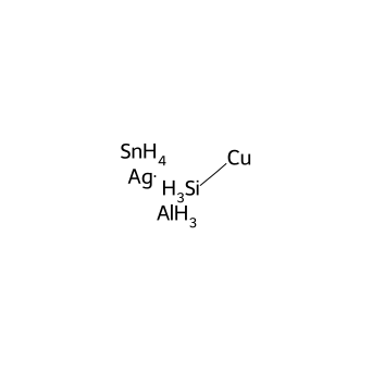 [Ag].[AlH3].[SiH3][Cu].[SnH4]